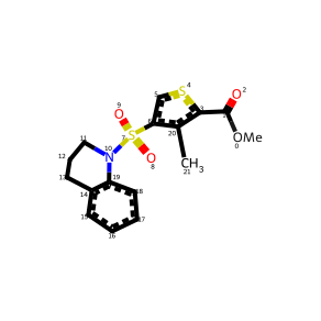 COC(=O)c1scc(S(=O)(=O)N2CCCc3ccccc32)c1C